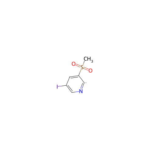 CS(=O)(=O)c1[c]ncc(I)c1